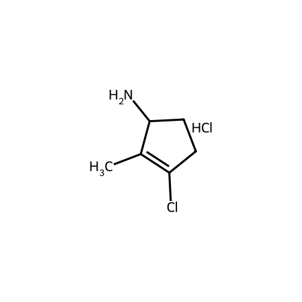 CC1=C(Cl)CCC1N.Cl